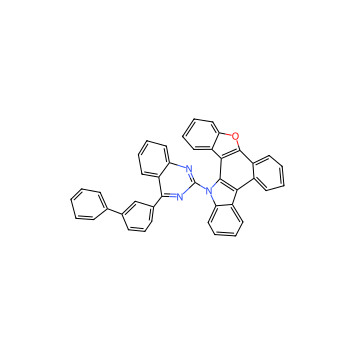 c1ccc(-c2cccc(-c3nc(-n4c5ccccc5c5c6ccccc6c6oc7ccccc7c6c54)nc4ccccc34)c2)cc1